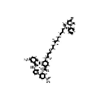 CC(C)N(C)[C@@H]1CC[C@H](N2CC[C@H](Nc3ncnc4ccc(C(F)(F)F)cc34)C2=O)[C@H](NC(=O)C2CCC(NC(=O)CCOCCNC(=O)CCOCCCNC(=O)[C@H]3CC(=O)N(C)[C@@H]3c3cccnc3)CC2)C1